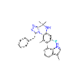 Cc1c(-c2cccc3c(C)c[nH]c23)c(F)cc2c1-n1c(Cc3ccccc3)nnc1C(C)(C)N2